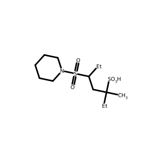 CCC(CC(C)(CC)S(=O)(=O)O)S(=O)(=O)N1CCCCC1